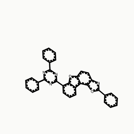 c1ccc(-c2nc(-c3ccccc3)nc(-c3cccc4c3oc3ccc5nc(-c6ccccc6)oc5c34)n2)cc1